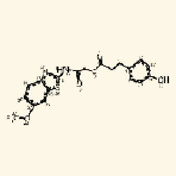 O=C(COC(=O)CCc1ccc(O)cc1)Nc1nc2ccc(OC(F)(F)F)cc2s1